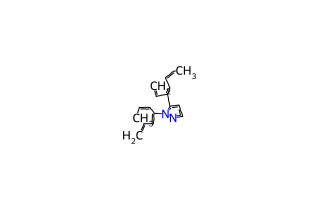 C=C/C=C(\C=C/C)n1nccc1/C(C=C)=C/C=C\C